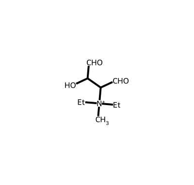 CC[N+](C)(CC)C(C=O)C(O)C=O